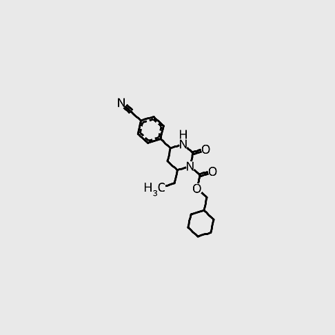 CCC1CC(c2ccc(C#N)cc2)NC(=O)N1C(=O)OCC1CCCCC1